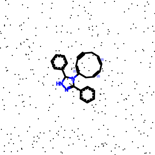 C1#CC/C=C\C=C/C/C(N2C(c3ccccc3)=NNC2c2ccccc2)=C\1